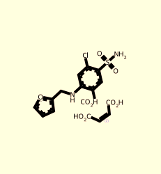 NS(=O)(=O)c1cc(C(=O)O)c(NCc2ccco2)cc1Cl.O=C(O)/C=C\C(=O)O